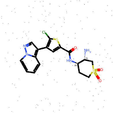 N[C@@H]1CS(=O)(=O)CC[C@H]1NC(=O)c1cc(-c2cnn3ccccc23)c(Cl)s1